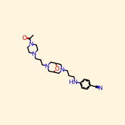 CC(=O)N1CCN(CCCN2CC3CN(CCCNc4ccc(C#N)cc4)CC(C2)O3)CC1